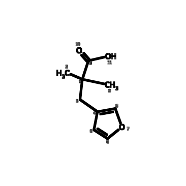 CC(C)(Cc1ccoc1)C(=O)O